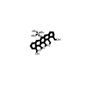 CCCC[N+](CCCC)(CCCC)CCCC.OCc1cccc2cc3cc4cc5cccc(CO)c5c(CO)c4c(CO)c3c(CO)c12